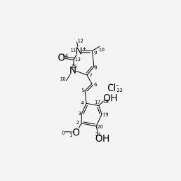 COc1cc(C=Cc2cc(C)[n+](C)c(=O)n2C)c(O)cc1O.[Cl-]